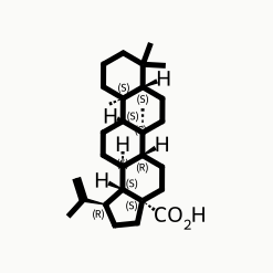 C=C(C)[C@@H]1CC[C@]2(C(=O)O)CC[C@@H]3[C@H](CC[C@H]4[C@@]3(C)CC[C@H]3C(C)(C)CCC[C@]43C)[C@@H]12